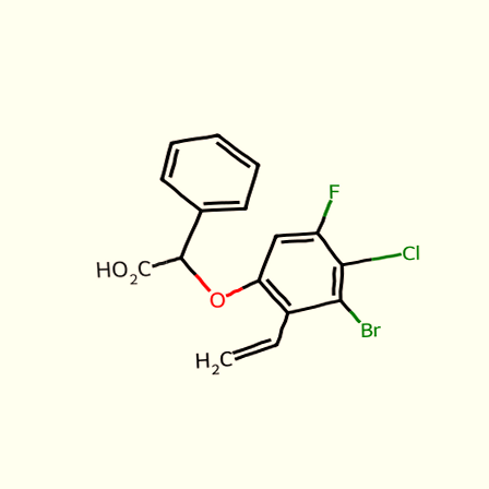 C=Cc1c(OC(C(=O)O)c2ccccc2)cc(F)c(Cl)c1Br